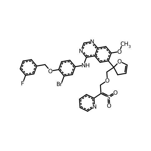 COc1cc2ncnc(Nc3ccc(OCc4cccc(F)c4)c(Br)c3)c2cc1C1(COCC(c2ccccn2)=S(=O)=O)CC=CO1